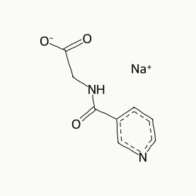 O=C([O-])CNC(=O)c1cccnc1.[Na+]